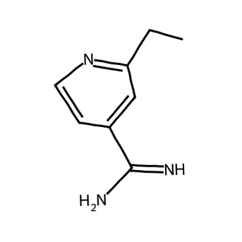 CCc1cc(C(=N)N)ccn1